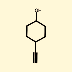 [C]#CC1CCC(O)CC1